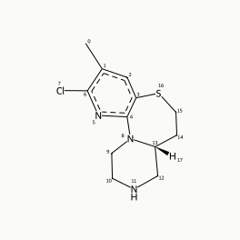 Cc1cc2c(nc1Cl)N1CCNC[C@H]1CCS2